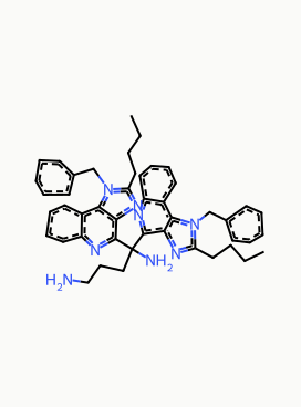 CCCCc1nc2c(C(N)(CCCN)c3nc4ccccc4c4c3nc(CCCC)n4Cc3ccccc3)nc3ccccc3c2n1Cc1ccccc1